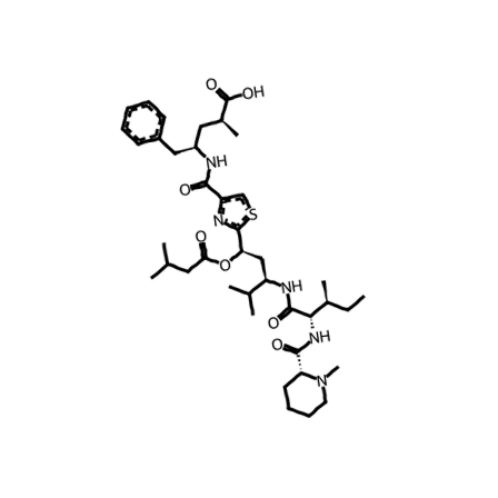 CC[C@H](C)[C@H](NC(=O)[C@H]1CCCCN1C)C(=O)N[C@H](C[C@@H](OC(=O)CC(C)C)c1nc(C(=O)N[C@@H](Cc2ccccc2)C[C@H](C)C(=O)O)cs1)C(C)C